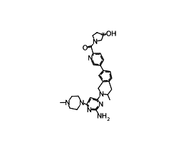 CC1Cc2ccc(-c3ccc(C(=O)N4CC[C@@H](O)C4)nc3)cc2CN1c1cc(N2CCN(C)CC2)nc(N)n1